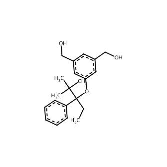 [CH2]CC(Oc1cc(CO)cc(CO)c1)(c1ccccc1)C(C)(C)C